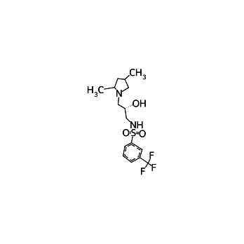 CC1CC(C)N(C[C@H](O)CNS(=O)(=O)c2cccc(C(F)(F)F)c2)C1